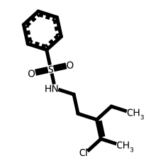 CC/C(CCNS(=O)(=O)c1ccccc1)=C(\C)Cl